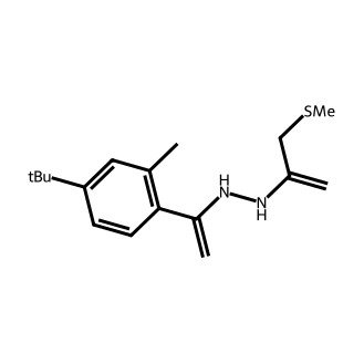 C=C(CSC)NNC(=C)c1ccc(C(C)(C)C)cc1C